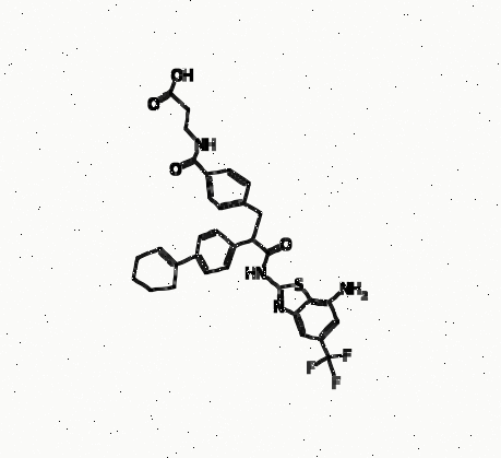 Nc1cc(C(F)(F)F)cc2nc(NC(=O)C(Cc3ccc(C(=O)NCCC(=O)O)cc3)c3ccc(C4=CCCCC4)cc3)sc12